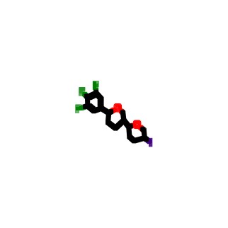 Fc1cc(C2CCC(C3CCC(I)CO3)CO2)cc(F)c1F